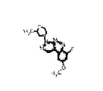 COc1cc(F)c2nnc3c(cnn3N3CCOC(C)C3)c2c1